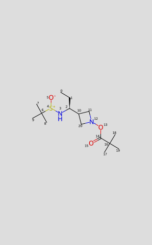 CC[C@H](N[S+]([O-])C(C)(C)C)C1CN(OC(=O)C(C)(C)C)C1